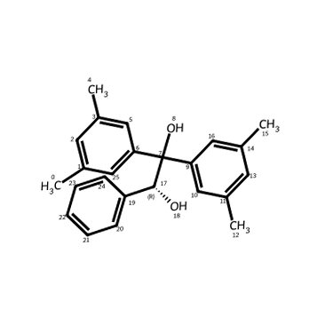 Cc1cc(C)cc(C(O)(c2cc(C)cc(C)c2)[C@H](O)c2ccccc2)c1